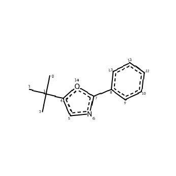 CC(C)(C)c1cnc(-c2ccccc2)o1